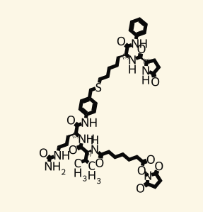 CC(C)[C@H](NC(=O)CCCCCC(=O)ON1C(=O)CCC1=O)C(=O)N[C@@H](CCCNC(N)=O)C(=O)Nc1ccc(CSCCCCC[C@H](NC(=O)[C@H]2CCC(=O)N2)C(=O)Nc2ccccc2)cc1